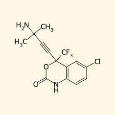 CC(C)(N)C#CC1(C(F)(F)F)OC(=O)Nc2ccc(Cl)cc21